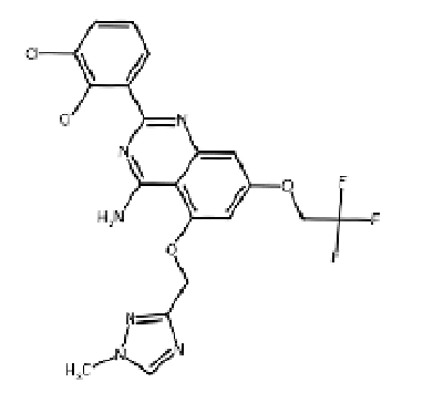 Cn1cnc(COc2cc(OCC(F)(F)F)cc3nc(-c4cccc(Cl)c4Cl)nc(N)c23)n1